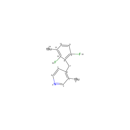 CC(C)(C)c1cnccc1Cc1c(F)ccc(C(C)(C)C)c1F